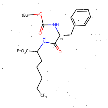 CCOC(=O)C(CCCCC(F)(F)F)NC(=O)[C@@H](Cc1ccccc1)NC(=O)OC(C)(C)C